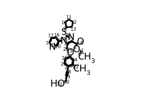 CCOC(=O)c1nc(SC2CCCC2)n(-c2cccnc2)c1COc1ccc(C#CCO)c(C)c1